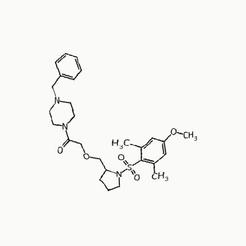 COc1cc(C)c(S(=O)(=O)N2CCCC2COCC(=O)N2CCN(Cc3ccccc3)CC2)c(C)c1